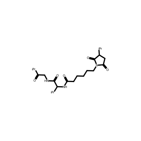 CC(C)C(=O)CNC(=O)C(NC(=O)CCCCCN1C(=O)CC(C(C)C)C1=O)C(C)C